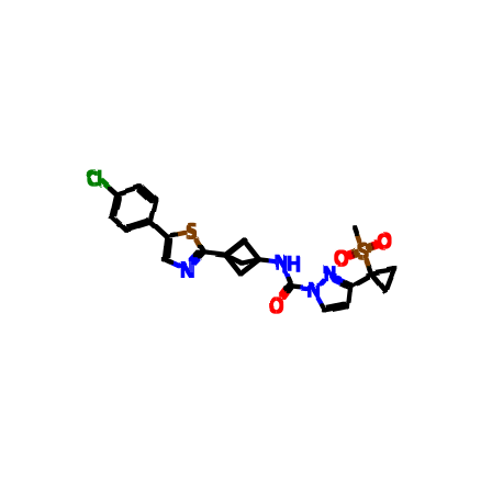 CS(=O)(=O)C1(c2ccn(C(=O)NC34CC(c5ncc(-c6ccc(Cl)cc6)s5)(C3)C4)n2)CC1